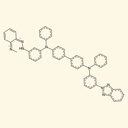 C/N=C1/C=CC=C/C1=N/Nc1cccc(N(c2ccccc2)c2ccc(-c3ccc(N(c4ccccc4)c4cccc(-n5nc6ccccc6n5)c4)cc3)cc2)c1